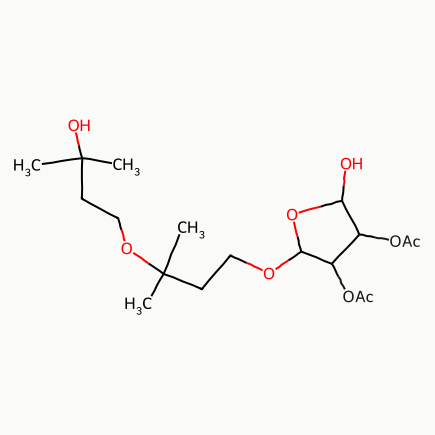 CC(=O)OC1C(O)OC(OCCC(C)(C)OCCC(C)(C)O)C1OC(C)=O